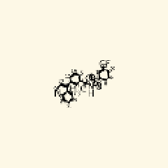 CC(C)(NS(=O)(=O)c1cccc(C(F)(F)F)c1)c1cccc(-c2ccnc3ccccc23)c1